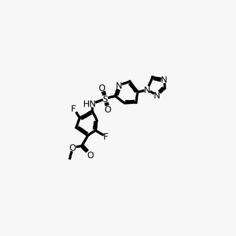 COC(=O)c1cc(F)c(NS(=O)(=O)c2ccc(-n3cncn3)cn2)cc1F